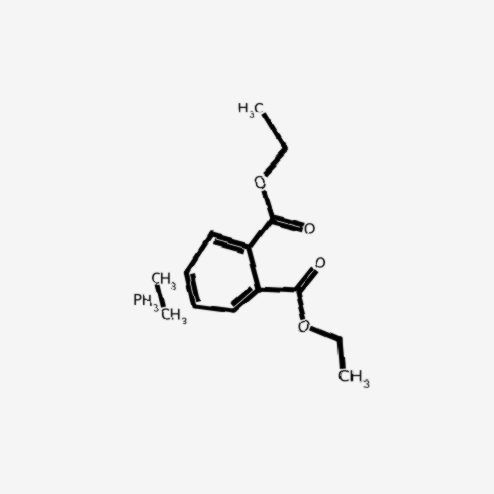 CC.CCOC(=O)c1ccccc1C(=O)OCC.P